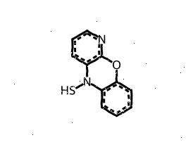 SN1c2ccccc2Oc2ncccc21